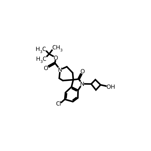 CC(C)(C)OC(=O)N1CCC2(CC1)C(=O)N(C1CC(O)C1)c1ccc(Cl)cc12